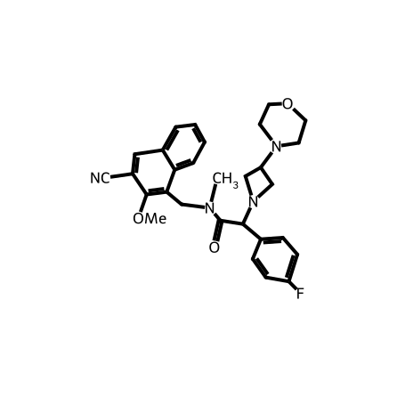 COc1c(C#N)cc2ccccc2c1CN(C)C(=O)C(c1ccc(F)cc1)N1CC(N2CCOCC2)C1